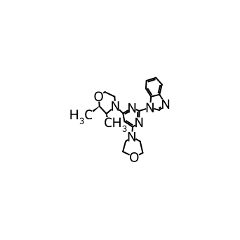 C[C@H]1OCCN(c2cc(N3CCOCC3)nc(-n3cnc4ccccc43)n2)[C@H]1C